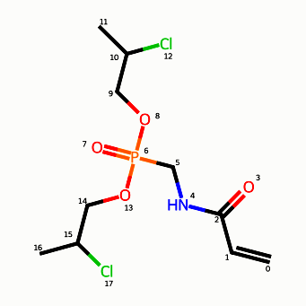 C=CC(=O)NCP(=O)(OCC(C)Cl)OCC(C)Cl